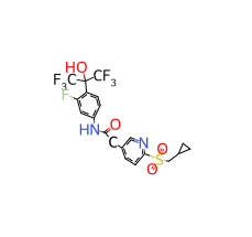 O=C(Cc1ccc(S(=O)(=O)CC2CC2)nc1)Nc1ccc(C(O)(C(F)(F)F)C(F)(F)F)c(F)c1